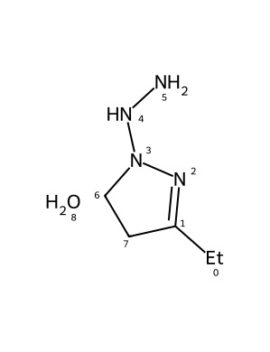 CCC1=NN(NN)CC1.O